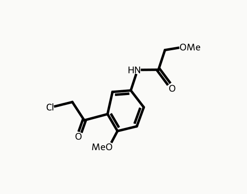 COCC(=O)Nc1ccc(OC)c(C(=O)CCl)c1